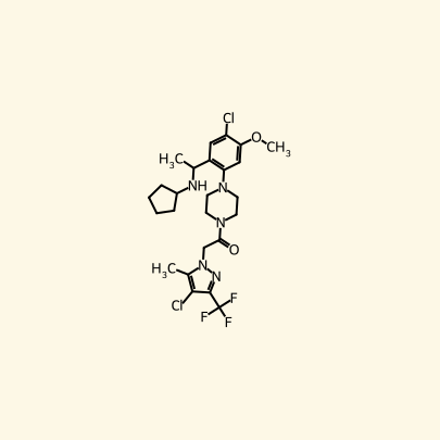 COc1cc(N2CCN(C(=O)Cn3nc(C(F)(F)F)c(Cl)c3C)CC2)c(C(C)NC2CCCC2)cc1Cl